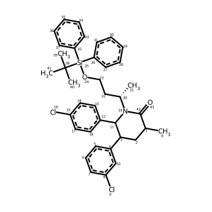 CC1CC(c2cccc(Cl)c2)C(c2ccc(Cl)cc2)N([C@@H](C)CCO[Si](c2ccccc2)(c2ccccc2)C(C)(C)C)C1=O